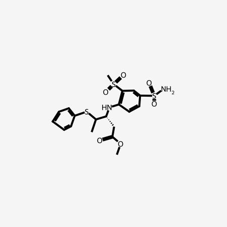 COC(=O)C[C@@H](Nc1ccc(S(N)(=O)=O)cc1S(C)(=O)=O)C(C)Sc1ccccc1